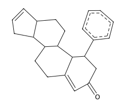 O=C1C=C2CCC3C4CC=CC4CCC3C2C(c2ccccc2)C1